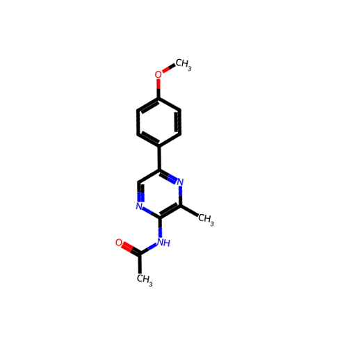 COc1ccc(-c2cnc(NC(C)=O)c(C)n2)cc1